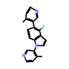 Cc1ccncc1-c1ccc2c(ccn2-c2cnccc2C)c1F